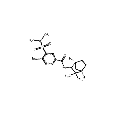 CN(C)S(=O)(=O)c1cc(C(=O)NC2[C@H]3CC[C@H](C3)C2(C)C)ccc1Br